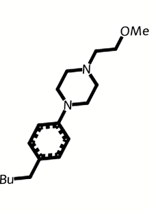 COCCN1CCN(c2ccc(CC(C)(C)C)cc2)CC1